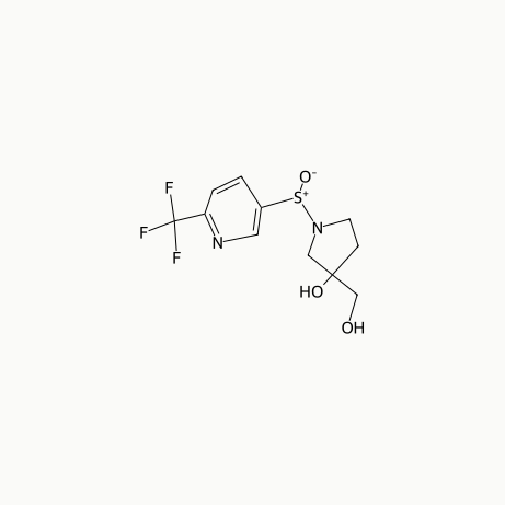 [O-][S+](c1ccc(C(F)(F)F)nc1)N1CCC(O)(CO)C1